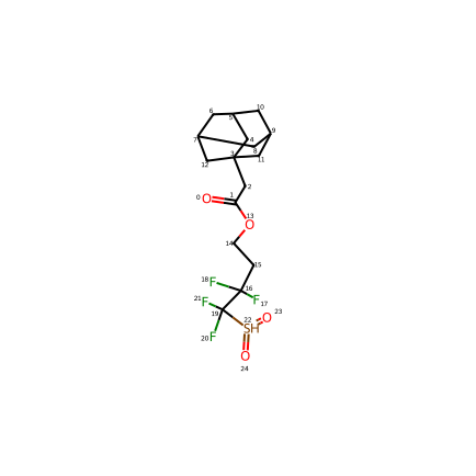 O=C(CC12CC3CC(CC(C3)C1)C2)OCCC(F)(F)C(F)(F)[SH](=O)=O